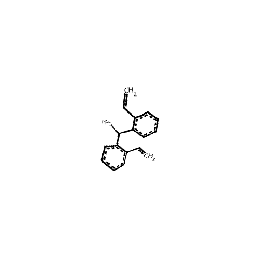 C=Cc1ccccc1C(CCC)c1ccccc1C=C